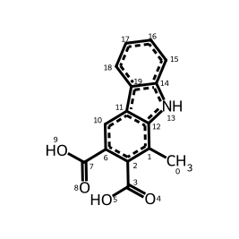 Cc1c(C(=O)O)c(C(=O)O)cc2c1[nH]c1ccccc12